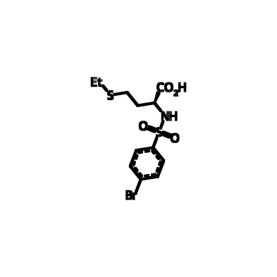 CCSCC[C@H](NS(=O)(=O)c1ccc(Br)cc1)C(=O)O